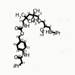 CC(C)BCC(COCC(C)(C)CC(C)(C)CNC(=O)OCc1ccc(NC(=O)CC(C)C)cc1)OI